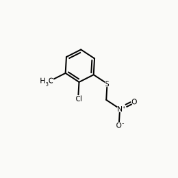 Cc1cccc(SC[N+](=O)[O-])c1Cl